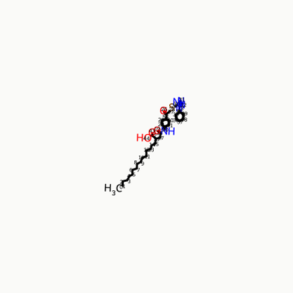 CCCCCCCCCCCCCCCCC(CC(=O)Nc1ccc(C(=O)CSc2nnnn2-c2ccccc2)cc1)C(=O)O